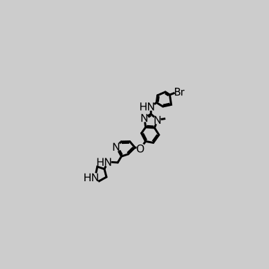 Cn1c(Nc2ccc(Br)cc2)nc2cc(Oc3ccnc(CNC4CCNC4)c3)ccc21